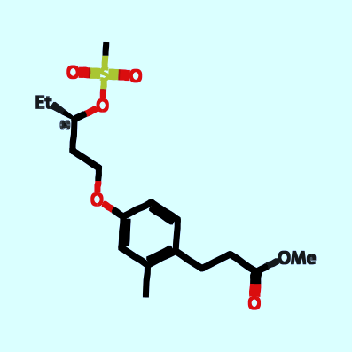 CC[C@H](CCOc1ccc(CCC(=O)OC)c(C)c1)OS(C)(=O)=O